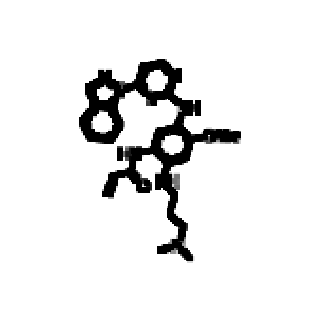 C=CC(=O)Nc1cc(Nc2nccc(-n3ncc4ccccc43)n2)c(OC)cc1NCCCN(C)C